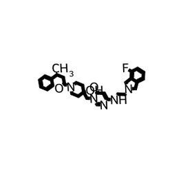 C[C@H](CC(=O)N1CCC(O)(Cn2cnc(NCCN3Cc4cccc(F)c4C3)cc2=O)CC1)c1ccccc1